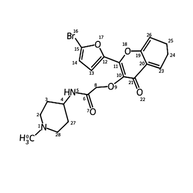 CN1CCC(NC(=O)COc2c(-c3ccc(Br)o3)oc3c(c2=O)=CCCC=3)CC1